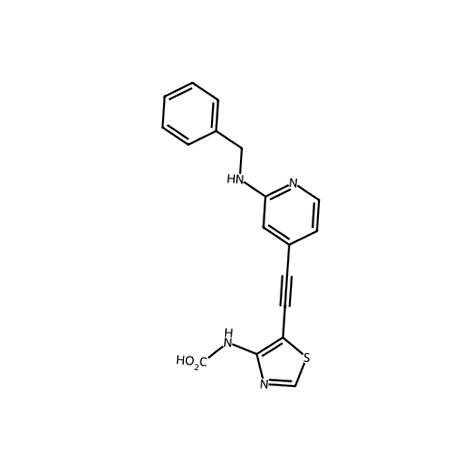 O=C(O)Nc1ncsc1C#Cc1ccnc(NCc2ccccc2)c1